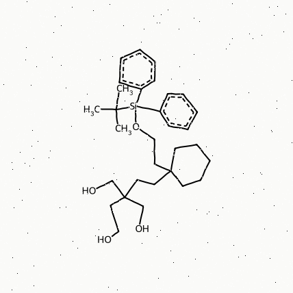 CC(C)(C)[Si](OCCC1(CCC(CO)(CO)CCO)CCCCC1)(c1ccccc1)c1ccccc1